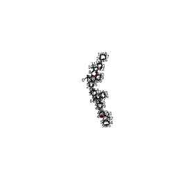 CCN(c1ccc2c(c1)C(C)(C)c1cc(-c3ccccc3)ccc1-2)c1ccc(-c2cccc(-c3ccccc3N(c3ccc(-c4ccc5c(c4)C(C)(C)c4ccccc4-5)cc3)C(C)C)c2)cc1-c1ccccc1